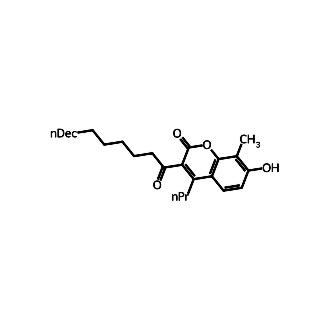 CCCCCCCCCCCCCCCC(=O)c1c(CCC)c2ccc(O)c(C)c2oc1=O